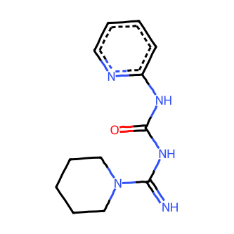 N=C(NC(=O)Nc1ccccn1)N1CCCCC1